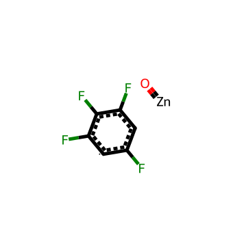 Fc1[c]c(F)c(F)c(F)c1.[O]=[Zn]